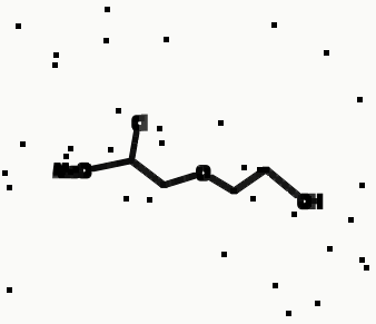 COC(Cl)COCCO